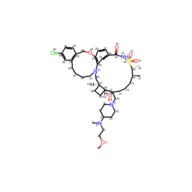 COCCN(C)C1CCN(C[C@]2(O)CCC[C@H](C)[C@@H](C)S(=O)(=O)NC(=O)c3ccc4c(c3)N(CCCCc3cc(Cl)ccc3CO4)C[C@@H]3CC[C@H]32)CC1